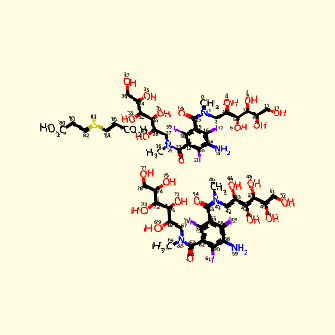 CN(CC(O)C(O)C(O)C(O)CO)C(=O)c1c(I)c(N)c(I)c(C(=O)N(C)CC(O)C(O)C(O)C(O)CO)c1I.CN(CC(O)C(O)C(O)C(O)CO)C(=O)c1c(I)c(N)c(I)c(C(=O)N(C)CC(O)C(O)C(O)C(O)CO)c1I.O=C(O)CCSCCC(=O)O